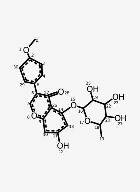 COc1ccc(-c2coc3cc(O)cc(OC4OC(C)C(O)C(O)C4O)c3c2=O)cc1